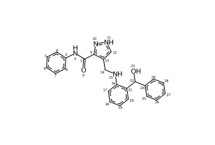 O=C(Nc1ccccc1)c1n[nH]cc1CNc1ccccc1C(O)c1ccccc1